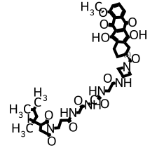 COc1cccc2c1C(=O)c1c(O)c3c(c(O)c1C2=O)C[C@@H](C(=O)N1CC(NC(=O)CNC(=O)CNC(=O)CNC(=O)CCN2C(=O)CC(C(C)(I)CC(C)C)C2=O)C1)CC3